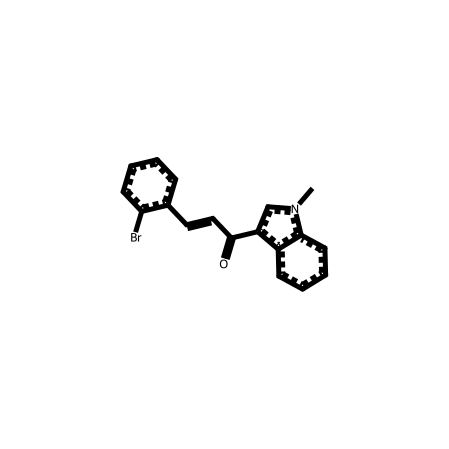 Cn1cc(C(=O)/C=C/c2ccccc2Br)c2ccccc21